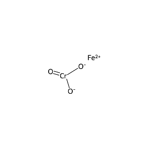 [Fe+2].[O]=[Cr]([O-])[O-]